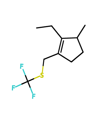 CCC1=C(CSC(F)(F)F)CCC1C